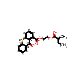 CCC(C)C(=O)OCCOC(=O)c1cccc2sc3ccccc3c(=O)c12